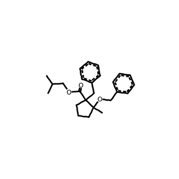 CC(C)COC(=O)C1(Cc2ccccc2)CCCC1(C)OCc1ccccc1